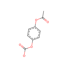 CC(=O)Oc1ccc(OC([O])=O)cc1